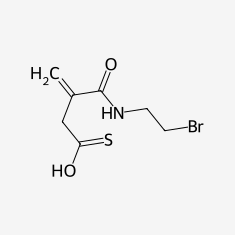 C=C(CC(O)=S)C(=O)NCCBr